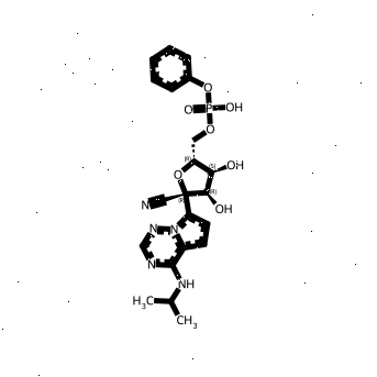 CC(C)Nc1ncnn2c([C@]3(C#N)O[C@H](COP(=O)(O)Oc4ccccc4)[C@@H](O)[C@H]3O)ccc12